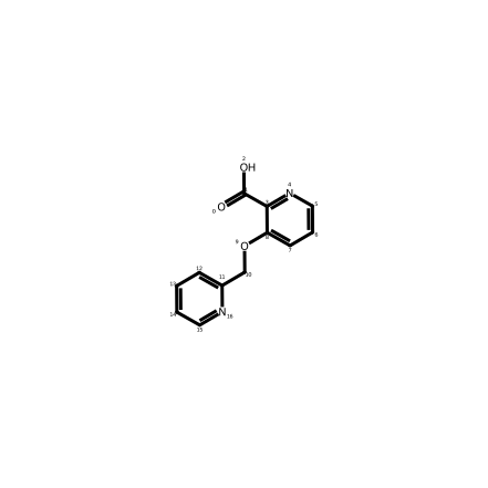 O=C(O)c1ncccc1OCc1ccccn1